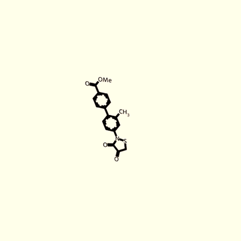 COC(=O)c1ccc(-c2ccc(N3SCC(=O)C3=O)cc2C)cc1